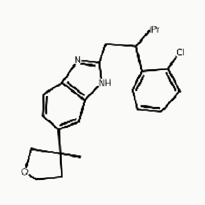 CC(C)C(Cc1nc2ccc(C3(C)CCOC3)cc2[nH]1)c1ccccc1Cl